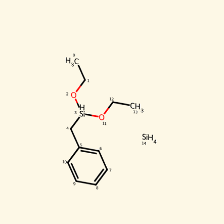 CCO[SiH](Cc1ccccc1)OCC.[SiH4]